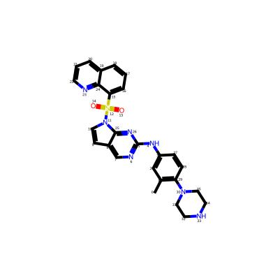 Cc1cc(Nc2ncc3ccn(S(=O)(=O)c4cccc5cccnc45)c3n2)ccc1N1CCNCC1